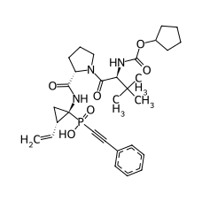 C=C[C@@H]1C[C@]1(NC(=O)[C@@H]1CCCN1C(=O)[C@@H](NC(=O)OC1CCCC1)C(C)(C)C)P(=O)(O)C#Cc1ccccc1